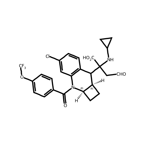 O=CCC(NC1CC1)(C(=O)O)C1c2ccc(Cl)cc2N(C(=O)c2ccc(OC(F)(F)F)cc2)[C@@H]2CC[C@H]12